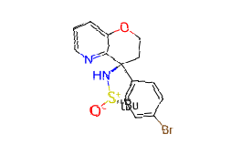 CC(C)(C)[S@@+]([O-])N[C@]1(c2ccc(Br)cc2)CCOc2cccnc21